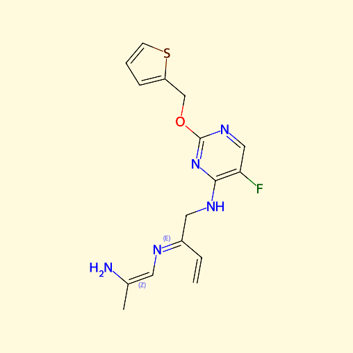 C=C/C(CNc1nc(OCc2cccs2)ncc1F)=N\C=C(\C)N